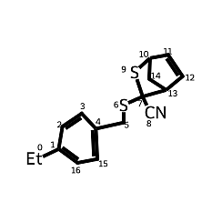 CCc1ccc(CSC2(C#N)SC3C=CC2C3)cc1